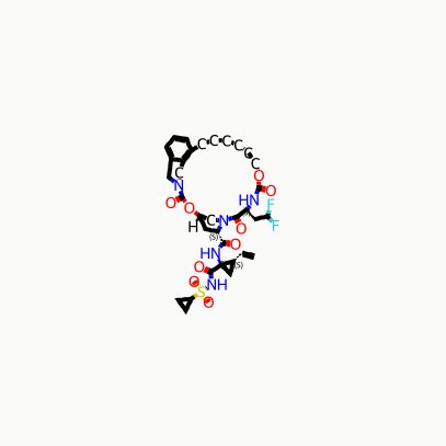 C=C[C@@H]1C[C@]1(NC(=O)[C@@H]1C[C@@H]2CN1C(=O)[C@H](CC(F)F)NC(=O)OCCCCCCc1cccc3c1CN(C3)C(=O)O2)C(=O)NS(=O)(=O)C1CC1